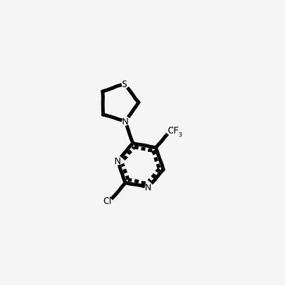 FC(F)(F)c1cnc(Cl)nc1N1CCSC1